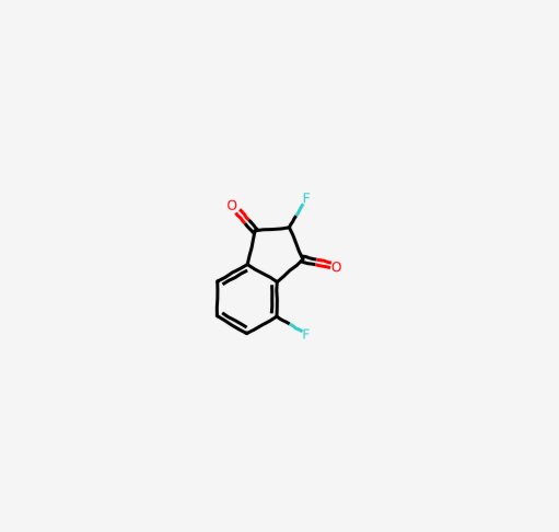 O=C1c2cccc(F)c2C(=O)C1F